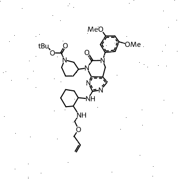 C=CCOCNC1CCCCC1Nc1ncc2c(n1)N(C1CCCN(C(=O)OC(C)(C)C)C1)C(=O)N(c1cc(OC)cc(OC)c1)C2